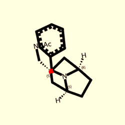 CC(=O)NC[C@@H]1C[C@H]2CC[C@@H](C1)N2Cc1ccccc1